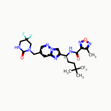 Cc1nonc1C(=O)N[C@@H](CCC(C)(C)C(F)(F)F)c1cn2ncc(CN3CC(F)(F)CNC3=O)cc2n1